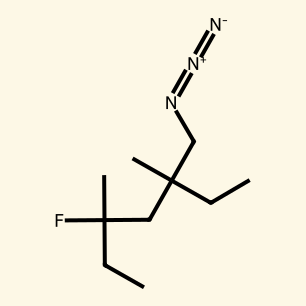 CCC(C)(F)CC(C)(CC)CN=[N+]=[N-]